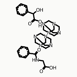 C1N2CN3CN1CN(C2)C3.C1N2CN3CN1CN(C2)C3.O=C(O)C(O)c1ccccc1.O=C(O)CNC(=O)c1ccccc1